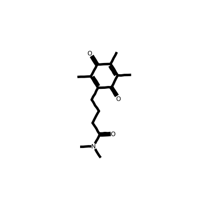 CC1=C(C)C(=O)C(CCCC(=O)N(C)C)=C(C)C1=O